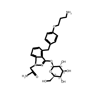 NCCCOc1ccc(Cc2cccc3c2c(O[C@@H]2O[C@H](CO)[C@@H](O)[C@H](O)[C@H]2O)nn3CC(N)=O)cc1